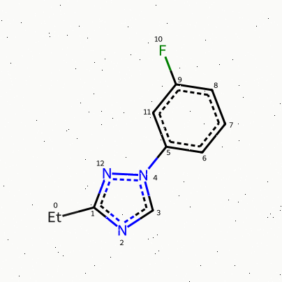 CCc1ncn(-c2cccc(F)c2)n1